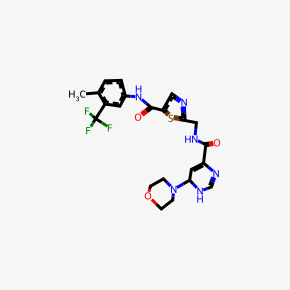 Cc1ccc(NC(=O)c2cnc(CNC(=O)C3=CC(N4CCOCC4)NC=N3)s2)cc1C(F)(F)F